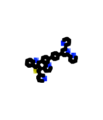 c1ccc(-c2cc(-c3ccc(-c4ccc(-c5nc6ccccc6c6sc(-c7cccnc7)c(-c7cccnc7)c56)cc4)cc3)cc(-c3ccccn3)n2)nc1